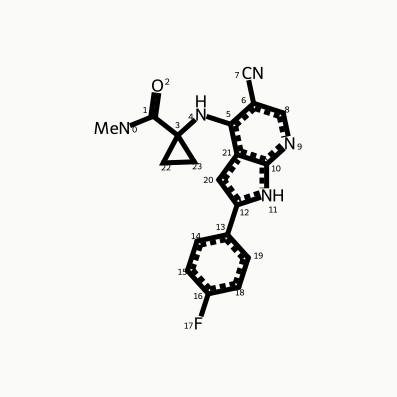 CNC(=O)C1(Nc2c(C#N)cnc3[nH]c(-c4ccc(F)cc4)cc23)CC1